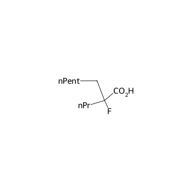 CCCCCCC(F)(CCC)C(=O)O